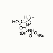 CC(C)(C)OC(=O)N[C@H](C(=O)N1CC2[C@@H](C1C(=O)O)C2(C)C)C(C)(C)C